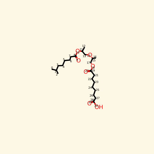 CC(C)CCCCCC(=O)OC(C)COC(C)COC(=O)CCCCCCCC(=O)O